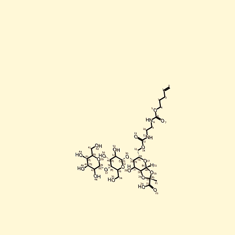 C=CCCCOC(=O)NCCNC(=O)OC[C@@H]1O[C@@H]2O[C@](C)(C(=O)O)OC2C(O)[C@@H]1O[C@@H]1OC(CO)[C@H](O[C@H]2OC(CO)[C@H](O)[C@H](O)C2O)[C@H](O)C1O